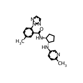 Cc1ccc(-n2nccn2)c(C(=O)N[C@H]2CCC[C@@H]2Nc2ccc(C)nc2)c1